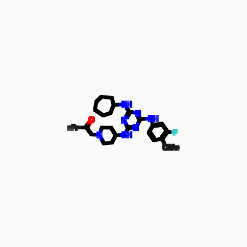 CCCC(=O)CN1CCC(Nc2nc(Nc3ccc(OC)c(F)c3)nc(NC3CCCCCC3)n2)CC1